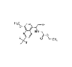 CCOC(=O)CNC(CS)c1ccc(OC)c2nc(C(F)(F)F)ccc12